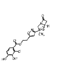 C[C@]1(c2cc(CCOC(=O)c3ccc(O)c(O)c3Cl)on2)CN2C(=O)C[C@H]2S1